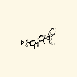 Cc1c(Nc2ccc(S(=O)(=O)C3CC3)cc2F)ncnc1OC1CC2COCC(C1)N2C(=O)OCC(C)(C)C